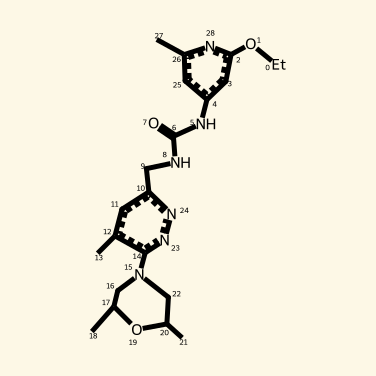 CCOc1cc(NC(=O)NCc2cc(C)c(N3CC(C)OC(C)C3)nn2)cc(C)n1